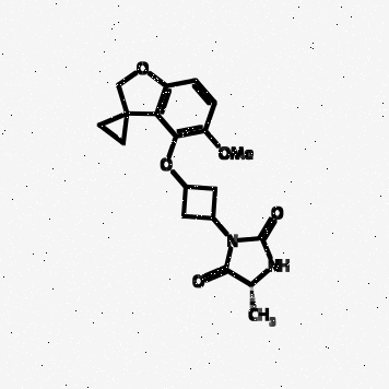 COc1ccc2c(c1OC1CC(N3C(=O)N[C@H](C)C3=O)C1)C1(CC1)CO2